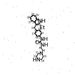 CCc1cc(NC(=O)NCCN2CCNCC2)ccc1Cc1c[nH]c2ccccc12